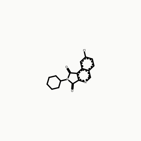 O=C1c2ncc3ccc(Cl)cc3c2C(=O)N1C1CCCCC1